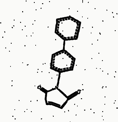 O=C1C=CC(=O)N1c1ccc(-c2cc[c]cc2)cc1